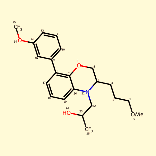 COCCCC1COc2c(-c3cccc(OC(F)(F)F)c3)cccc2N1CC(O)C(F)(F)F